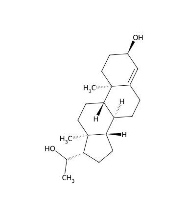 CC(O)[C@H]1CC[C@H]2[C@@H]3CCC4=C[C@H](O)CC[C@]4(C)[C@H]3CC[C@]12C